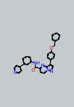 O=C(Nc1cccc(-c2ccncc2)c1)c1ccn2ncc(-c3ccc(OCc4ccccc4)cc3)c2n1